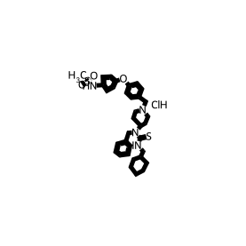 CS(=O)(=O)Nc1ccc(Oc2ccc(CN3CCC(N(Cc4ccccc4)C(=S)NCC4CCCCC4)CC3)cc2)cc1.Cl